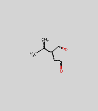 C=C(C)C(C=O)CC=O